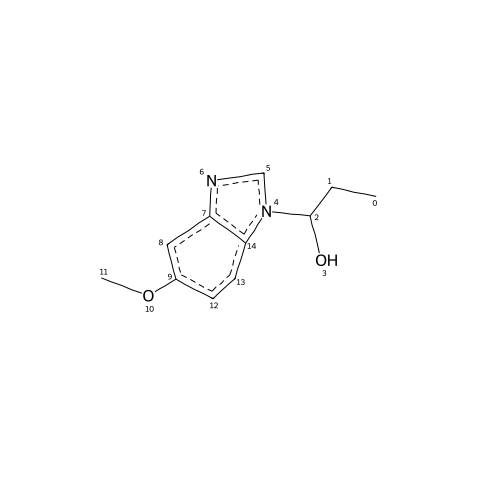 CCC(O)n1cnc2cc(OC)ccc21